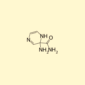 NC(=O)C1(N)C=NC=CN1